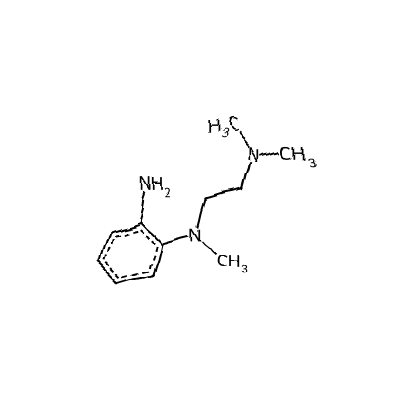 CN(C)CCN(C)c1ccccc1N